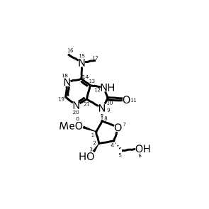 CO[C@@H]1[C@H](O)[C@@H](CO)O[C@H]1n1c(=O)[nH]c2c(N(C)C)ncnc21